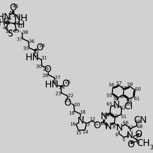 CS(=O)(=O)N1CCN(c2nc(OCC3CCCN3CCCOCCC(=O)NCCOCCNC(=O)CCCC[C@@H]3SC[C@@H]4NC(=O)N[C@@H]43)nc3c2CCN(c2cccc4cccc(Cl)c24)C3)CC1CC#N